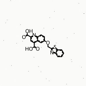 O=C(O)c1cc(C(=O)O)c2cc(OCc3nc4ccccc4s3)ccc2n1